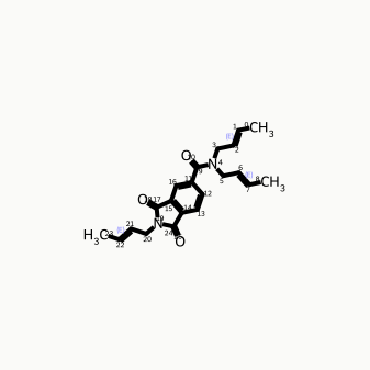 C/C=C/CN(C/C=C/C)C(=O)c1ccc2c(c1)C(=O)N(C/C=C/C)C2=O